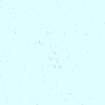 CC(C)(C)OC(=O)Nc1ccc(Nc2nc(Cl)nc(N3CCOCC3)n2)cc1